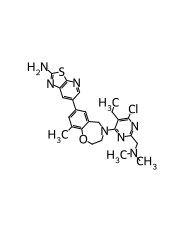 CCc1c(Cl)nc(CN(C)C)nc1N1CCOc2c(C)cc(-c3cnc4sc(N)nc4c3)cc2C1